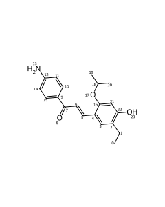 CCc1cc(/C=C/C(=O)c2ccc(N)cc2)c(OC(C)C)cc1O